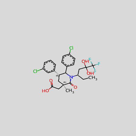 CCC(CC(O)(O)C(F)(F)F)N1C(=O)[C@@](C)(CC(=O)O)C[C@H](c2cccc(Cl)c2)C1c1ccc(Cl)cc1